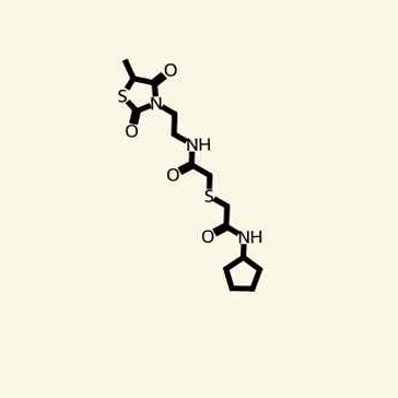 CC1SC(=O)N(CCNC(=O)CSCC(=O)NC2CCCC2)C1=O